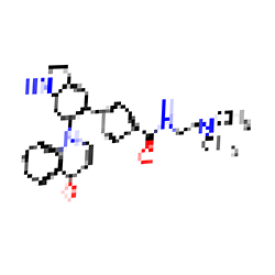 CN(C)CCNC(=O)c1ccc(-c2cc3cc[nH]c3cc2-n2ccc(=O)c3ccccc32)cc1